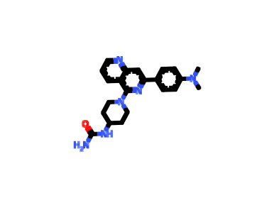 CN(C)c1ccc(-c2cc3ncccc3c(N3CCC(NC(N)=O)CC3)n2)cc1